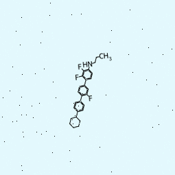 CCCNc1ccc(-c2ccc(-c3ccc(C4CCCCC4)cc3)c(F)c2)c(F)c1F